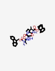 CC(NC(=O)OCC1c2ccccc2-c2ccccc21)C(=O)NC(C)C(=O)N1CCC2C(C)C(C(=O)Oc3cccc4ccccc34)NC(=O)C21